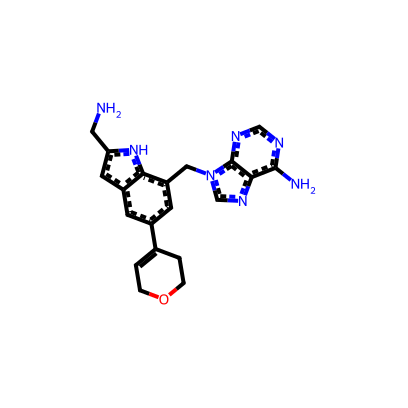 NCc1cc2cc(C3=CCOCC3)cc(Cn3cnc4c(N)ncnc43)c2[nH]1